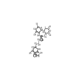 Cc1cc(C)c2c(c1)-c1cc(C)cc(C)c1CP(OCCCc1cc(C)c(O)c(C)c1)C2